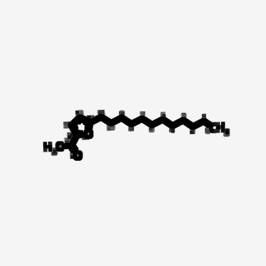 CCCCCCCCCCCCc1ccc(C(C)=O)o1